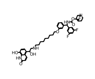 O=C(NC(c1cc(F)cc(F)c1)c1cccc(OCCCCCCCCCNCC(O)c2ccc(O)c3[nH]c(=O)ccc23)c1)OC1CN2CCC1CC2